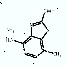 COc1nc2c(N)ccc(C)c2s1.N